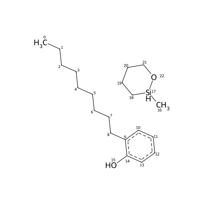 CCCCCCCCCc1ccccc1O.C[SiH]1CCCCO1